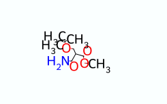 COC(=O)C(COC(C)(C)C)C(N)=O